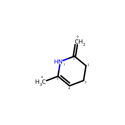 C=C1CCC=C(C)N1